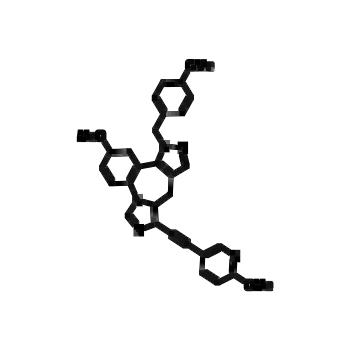 COc1ccc(Cn2ncc3c2-c2cc(OC)ccc2-n2cnc(C#Cc4ccc(OC)nc4)c2C3)cc1